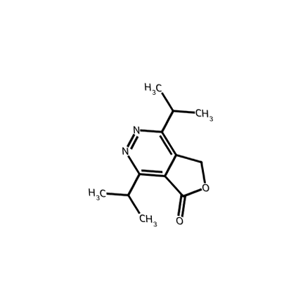 CC(C)c1nnc(C(C)C)c2c1COC2=O